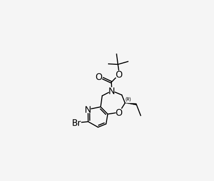 CC[C@@H]1CN(C(=O)OC(C)(C)C)Cc2nc(Br)ccc2O1